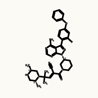 C[C@@H]1CN[C@@H](C)CN1C(C)(C)C=C(C#N)C(=O)N1CCC[C@@H](n2nc(-c3ccc(Oc4ccccc4)cc3F)c3c(N)ncnc32)C1